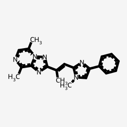 CC(=Cc1nc(-c2ccccc2)cn1C)c1nc2c(C)ncc(C)n2n1